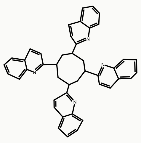 c1ccc2nc(C3CC(c4ccc5ccccc5n4)CC(c4ccc5ccccc5n4)CC(c4ccc5ccccc5n4)C3)ccc2c1